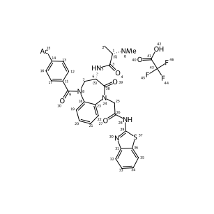 CN[C@@H](C)C(=O)N[C@H]1CN(C(=O)c2ccc(C(C)=O)cc2)c2ccccc2N(CC(=O)Nc2nc3ccccc3s2)C1=O.O=C(O)C(F)(F)F